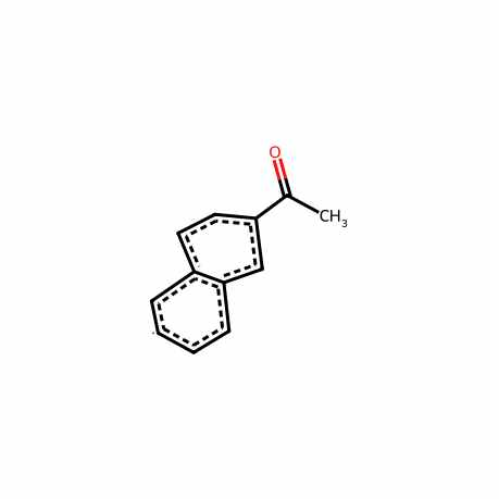 CC(=O)c1ccc2c[c]ccc2c1